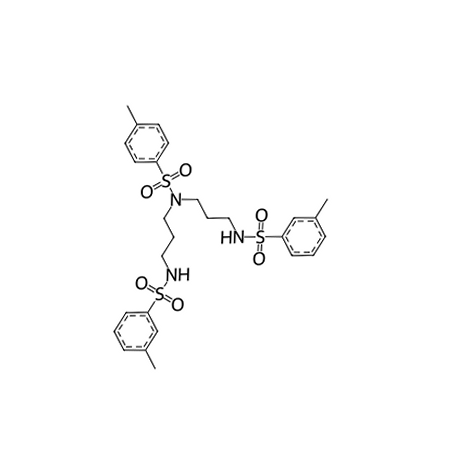 Cc1ccc(S(=O)(=O)N(CCCNS(=O)(=O)c2cccc(C)c2)CCCNS(=O)(=O)c2cccc(C)c2)cc1